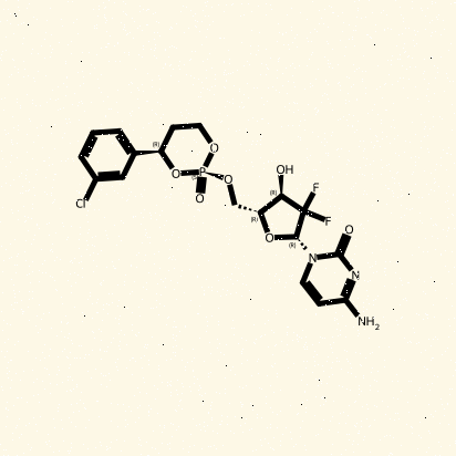 Nc1ccn([C@@H]2O[C@H](CO[P@]3(=O)OCC[C@H](c4cccc(Cl)c4)O3)[C@@H](O)C2(F)F)c(=O)n1